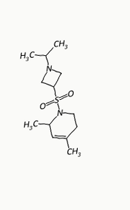 CC1=CC(C)N(S(=O)(=O)C2CN(C(C)C)C2)CC1